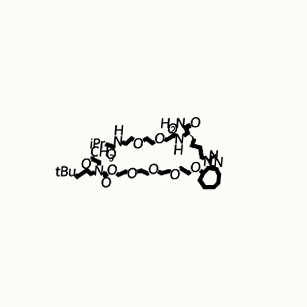 CC1CN(C(=O)OCCOCCOCCOCCOC2CCCCCc3nnn(CCCC[C@H](NC(=O)COCCOCCNC(=O)C(C)C)C(N)=O)c32)CC(CC(C)(C)C)O1